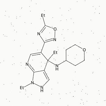 CCc1nc(C2=CN=C3C(=CNN3CC)C2(CC)NC2CCOCC2)no1